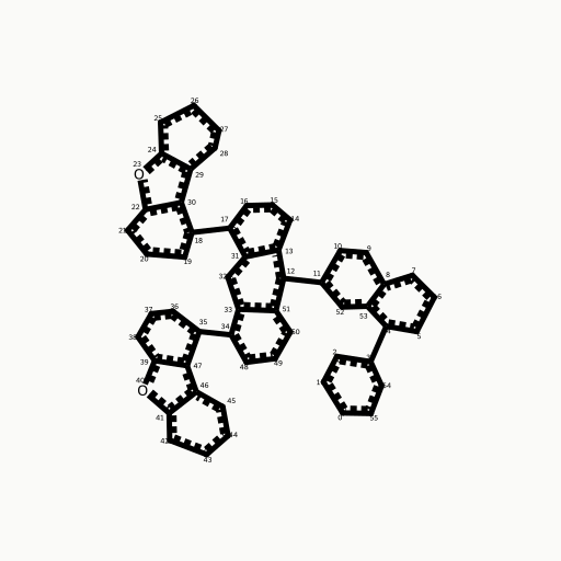 c1ccc(-c2cccc3ccc(-c4c5cccc(-c6cccc7oc8ccccc8c67)c5cc5c(-c6cccc7oc8ccccc8c67)cccc45)cc23)cc1